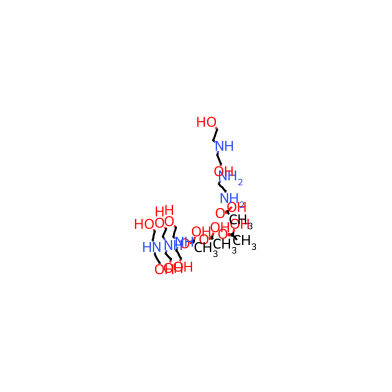 CC(=O)O.CC(=O)O.CC(=O)O.CC(=O)O.NCCN.OCCNCCO.OCCNCCO.OCCNCCO.OCCNCCO